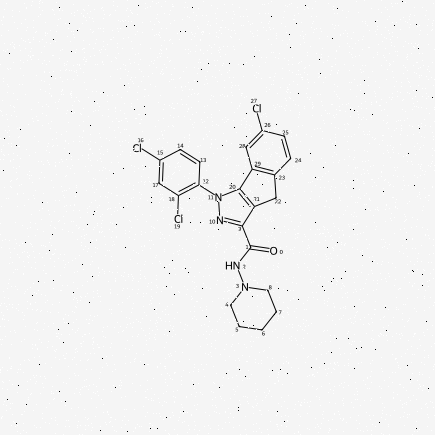 O=C(NN1CCCCC1)c1nn(-c2ccc(Cl)cc2Cl)c2c1Cc1ccc(Cl)cc1-2